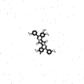 COc1cccc(C2=CN3C(=O)C4=C5c6cc(OC)c(OC)cc6C(c6cccc(OC)c6)=CN5C(=O)C4=C3c3cc(OC)c(C)cc32)c1